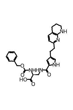 O=C(N[C@@H](CNC(=O)c1cc(CCc2ccc3c(n2)NCCC3)c[nH]1)C(=O)O)OCc1ccccc1